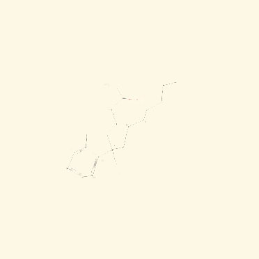 CCCCCC(O)CCCC(CCCCCCC(=O)O)(C(C)=O)c1ccccc1C